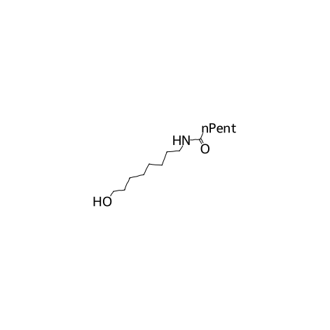 CCCCCC(=O)NCCCCCCCCO